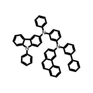 c1ccc(-c2cccc(N(c3cccc(N(c4ccccc4)c4ccc5c(c4)c4ccccc4n5-c4ccccc4)c3)c3ccc4ccc5ccccc5c4c3)c2)cc1